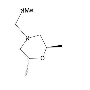 CNCN1C[C@@H](C)O[C@H](C)C1